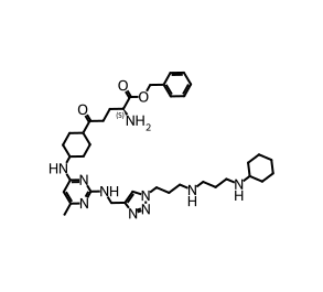 Cc1cc(NC2CCC(C(=O)CC[C@H](N)C(=O)OCc3ccccc3)CC2)nc(NCc2cn(CCCNCCCNC3CCCCC3)nn2)n1